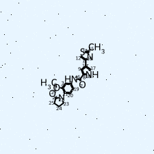 COc1cc(NC(=O)c2cc(-c3csc(C)n3)c[nH]2)ccc1N1CCCC1=O